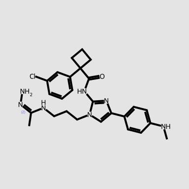 CNc1ccc(-c2cn(CCCN/C(C)=N\N)c(NC(=O)C3(c4cccc(Cl)c4)CCC3)n2)cc1